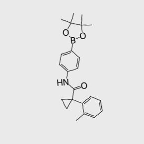 Cc1ccccc1C1(C(=O)Nc2ccc(B3OC(C)(C)C(C)(C)O3)cc2)CC1